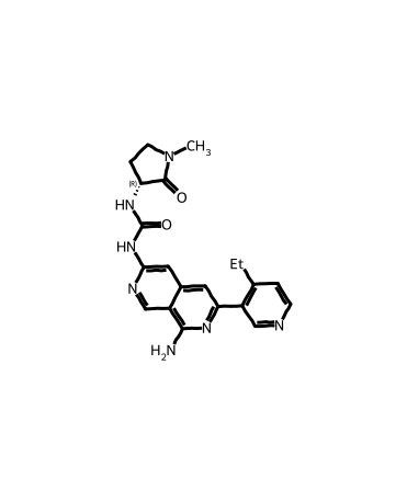 CCc1ccncc1-c1cc2cc(NC(=O)N[C@@H]3CCN(C)C3=O)ncc2c(N)n1